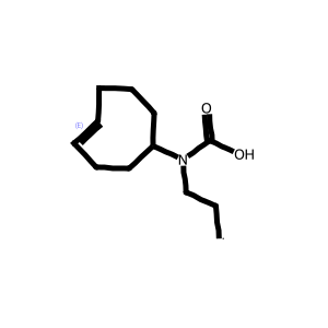 [CH2]CCN(C(=O)O)C1CC/C=C/CCC1